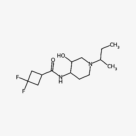 CCC(C)N1CCC(NC(=O)C2CC(F)(F)C2)C(O)C1